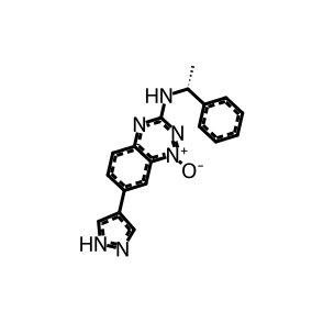 C[C@@H](Nc1nc2ccc(-c3cn[nH]c3)cc2[n+]([O-])n1)c1ccccc1